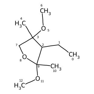 CCC1C(C)(OC)COC1(C)OC